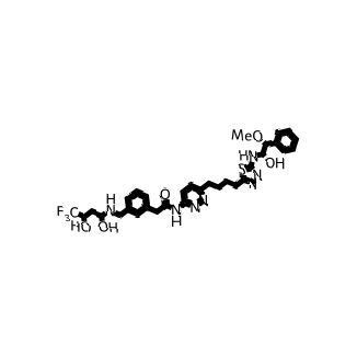 COC(c1ccccc1)C(O)Nc1nnc(CCCCc2ccc(NC(=O)Cc3cccc(CNC(O)CC(O)C(F)(F)F)c3)nn2)s1